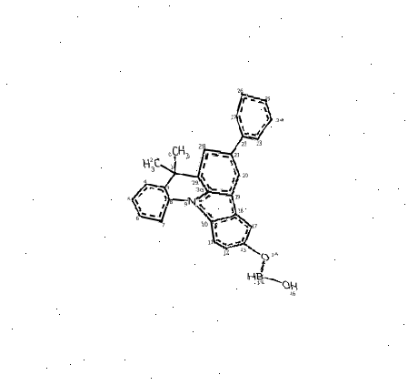 CC1(C)c2ccccc2-n2c3ccc(OBO)cc3c3cc(-c4ccccc4)cc1c32